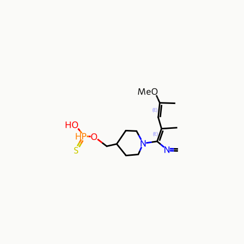 C=N/C(=C(C)/C=C(\C)OC)N1CCC(CO[PH](O)=S)CC1